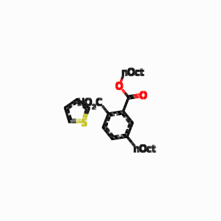 CCCCCCCCOC(=O)c1cc(CCCCCCCC)ccc1C(=O)O.c1ccsc1